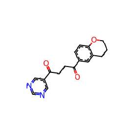 O=C(CCC(=O)c1ccc2c(c1)CCCO2)c1cncnc1